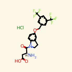 Cl.N[C@H](CC(=O)O)C(=O)N1CCc2cc(OCc3cc(C(F)(F)F)cc(C(F)(F)F)c3)ccc21